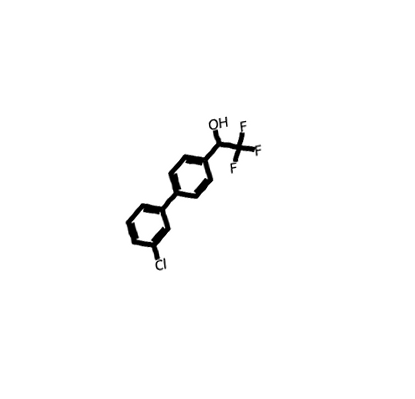 OC(c1ccc(-c2cccc(Cl)c2)cc1)C(F)(F)F